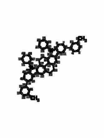 Cc1cccc(-c2ccc3c(c2)c2cc4c5c(c2n3-c2ccccc2)CCc2c-5c(cc3c5cc(-c6cccc(C)c6)ccc5n(-c5ccccc5)c23)CC4)c1